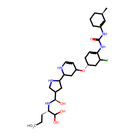 C[C@H]1C=C(NC(=O)NC2=CC[C@@H](OC3C=CNC(C4CC([C@@H](O)N[C@@H](CCC(=O)O)C(O)O)CN4)C3)CC2F)CCC1